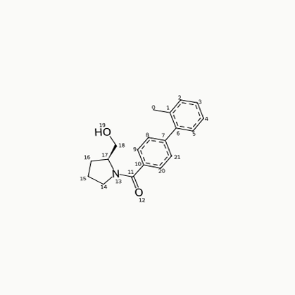 Cc1ccccc1-c1ccc(C(=O)N2CCC[C@H]2CO)cc1